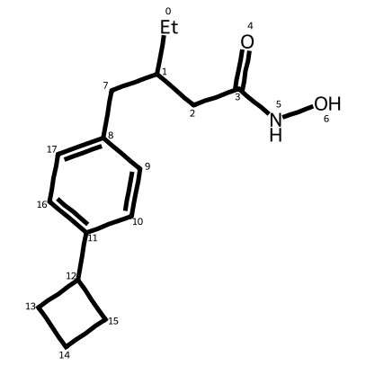 CCC(CC(=O)NO)Cc1ccc(C2CCC2)cc1